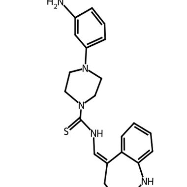 Nc1cccc(N2CCN(C(=S)N/C=C3/CCCNc4ccccc43)CC2)c1